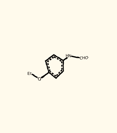 CCOc1ccc(N[C]=O)cc1